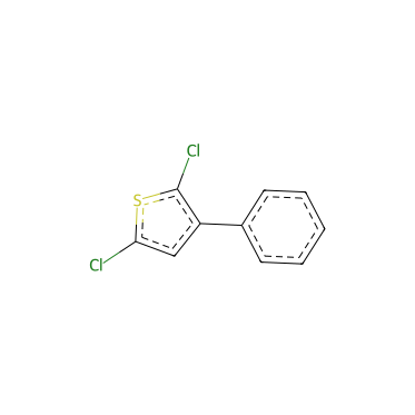 Clc1cc(-c2ccccc2)c(Cl)s1